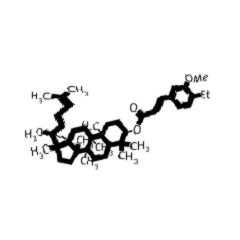 CCc1ccc(/C=C/C(=O)O[C@H]2CC[C@@]3(C)C(CC[C@@]4(C)C5(C)CCC(C)(C(C)CCC=C(C)C)[C@@]5(C)CC[C@@]34C)C2(C)C)cc1OC